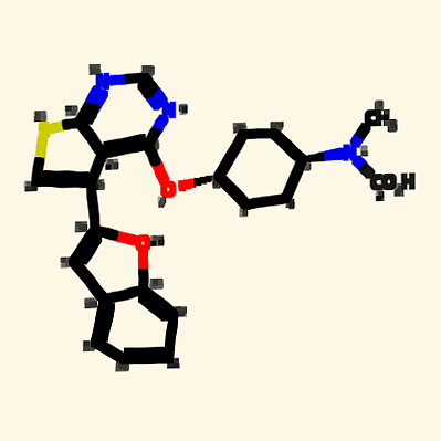 CN(C(=O)O)[C@H]1CC[C@H](Oc2ncnc3scc(-c4cc5ccccc5o4)c23)CC1